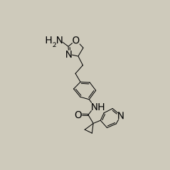 NC1=NC(CCc2ccc(NC(=O)C3(c4ccncc4)CC3)cc2)CO1